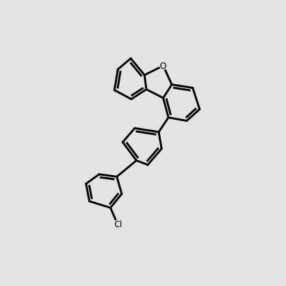 Clc1cccc(-c2ccc(-c3cccc4oc5ccccc5c34)cc2)c1